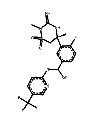 CN1C(=N)N[C@](C)(c2cc(C(O)Nc3ccc(C(F)(F)F)cn3)ccc2F)CS1(=O)=O